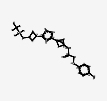 CC(C)(C)[Si](C)(C)O[C@H]1C[C@@H](c2nnc(C34CC(NC(=O)COc5ccc(Cl)cc5)(C3)C4)o2)C1